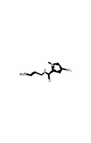 CNCCCNC(=O)c1cc(N)cn1C